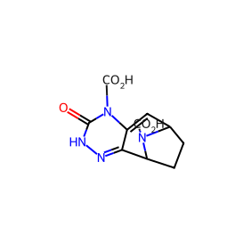 O=C(O)N1C(=O)NN=C2C1=CC1CCC2N1C(=O)O